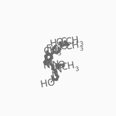 COc1nc(N2CC[C@@H](O)C2)cc(-n2ncc3cc(C)c(C4CCN(C(=O)OC(C)(C)C)CC4F)cc32)n1